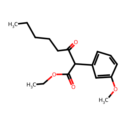 CCCCCC(=O)C(C(=O)OCC)c1cccc(OC)c1